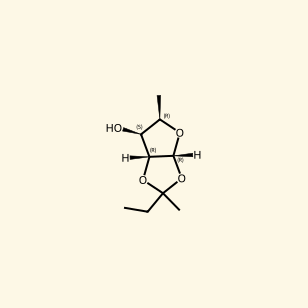 CCC1(C)O[C@H]2O[C@H](C)[C@H](O)[C@H]2O1